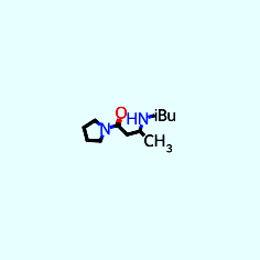 CCC(C)NC(C)CC(=O)N1CCCC1